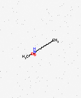 CCCCCCCCCCCCCCCCNC(=O)OCCCC